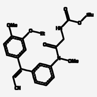 CCOc1cc(C(=CC#N)c2cccc(N(OC)C(=O)CNC(=O)OC(C)(C)C)c2)ccc1OC